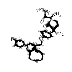 CC(C(=O)NO)N1CCC(N)(c2ccc(OCc3cc(-c4ccc(F)cc4)nc4ccccc34)cc2)C1=O